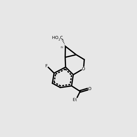 CCC(=O)c1ccc(F)c2c1OCC1C2[C@@H]1C(=O)O